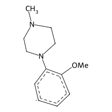 COc1cc[c]cc1N1CCN(C)CC1